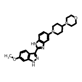 COc1ccc2c(-c3nc4cc(N5CCC(N6CCOCC6)CC5)ccc4[nH]3)n[nH]c2c1